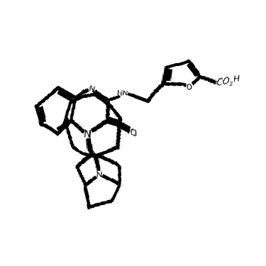 O=C(O)c1ccc(CNc2nc3ccccc3n(C3CC4CCC(C3)N4C3CCCCCCC3)c2=O)o1